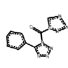 O=C(n1cnnn1)n1nnnc1-c1ccccc1